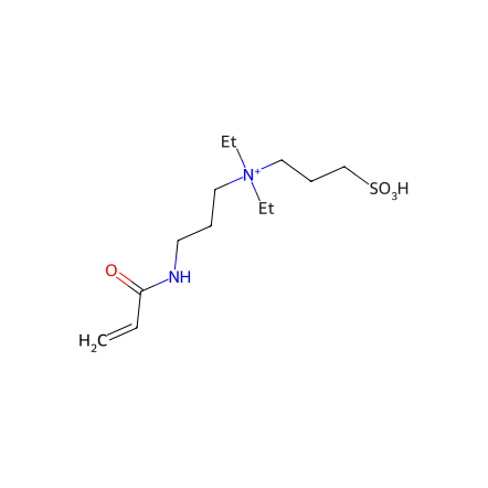 C=CC(=O)NCCC[N+](CC)(CC)CCCS(=O)(=O)O